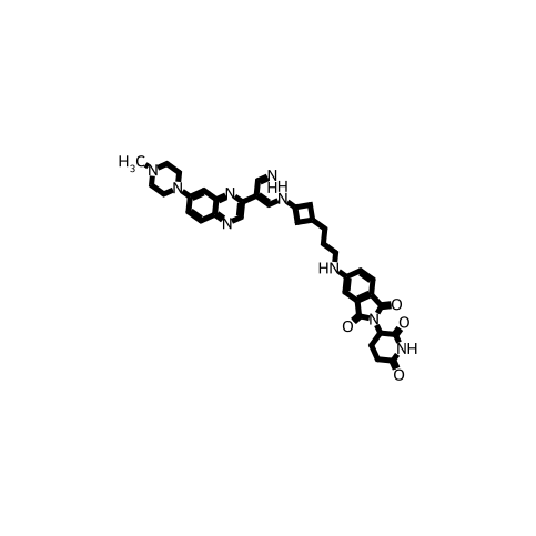 CN1CCN(c2ccc3ncc(/C(C=N)=C/NC4CC(CCCNc5ccc6c(c5)C(=O)N(C5CCC(=O)NC5=O)C6=O)C4)nc3c2)CC1